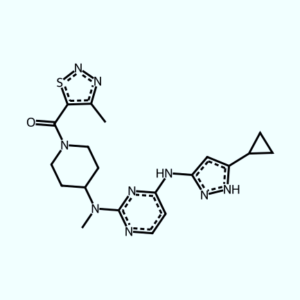 Cc1nnsc1C(=O)N1CCC(N(C)c2nccc(Nc3cc(C4CC4)[nH]n3)n2)CC1